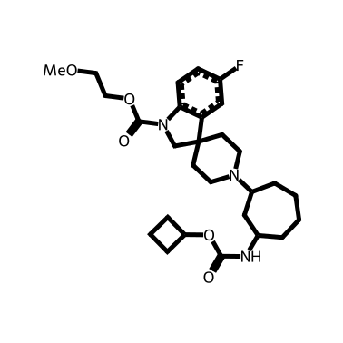 COCCOC(=O)N1CC2(CCN(C3CCCCC(NC(=O)OC4CCC4)C3)CC2)c2cc(F)ccc21